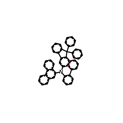 c1ccc(-c2ccccc2N(c2ccc3c(c2)-c2ccccc2C3(c2ccccc2)c2ccccc2)c2cc3ccccc3c3ccccc23)cc1